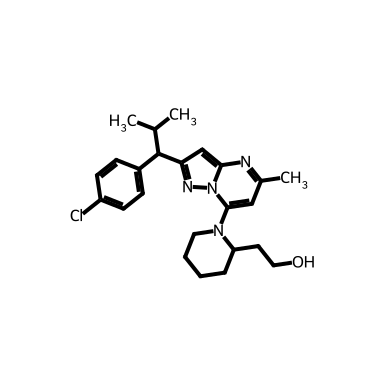 Cc1cc(N2CCCCC2CCO)n2nc(C(c3ccc(Cl)cc3)C(C)C)cc2n1